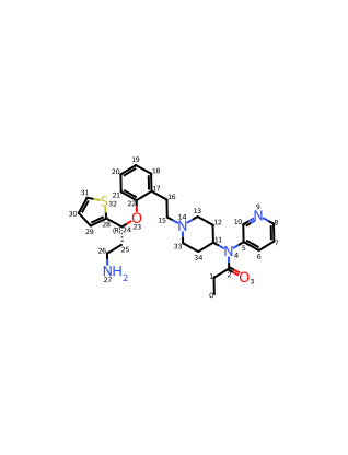 CCC(=O)N(c1cccnc1)C1CCN(CCc2ccccc2O[C@H](CCN)c2cccs2)CC1